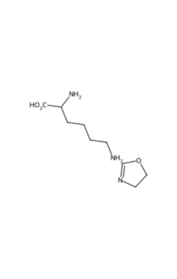 C1=NCCO1.NCCCCC(N)C(=O)O